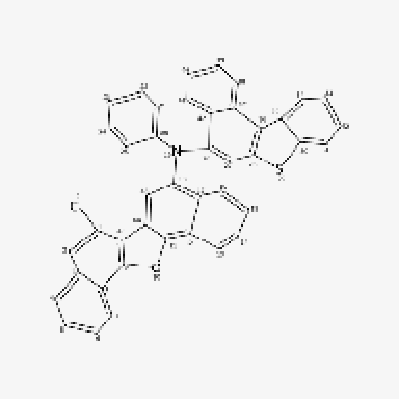 Clc1cc2ccccc2c2oc3c4ccccc4c(N(c4ccccc4)c4cc5sc6ccccc6c5c5ccccc45)cc3c12